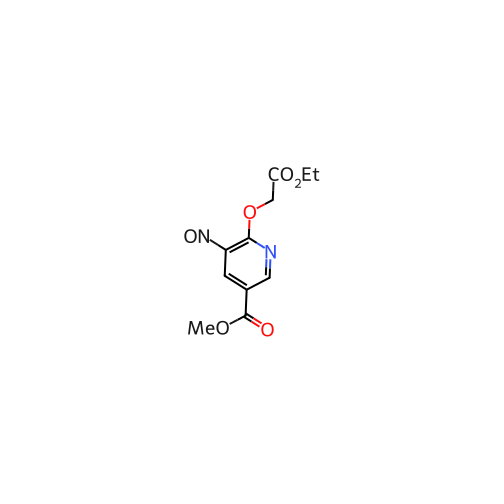 CCOC(=O)COc1ncc(C(=O)OC)cc1N=O